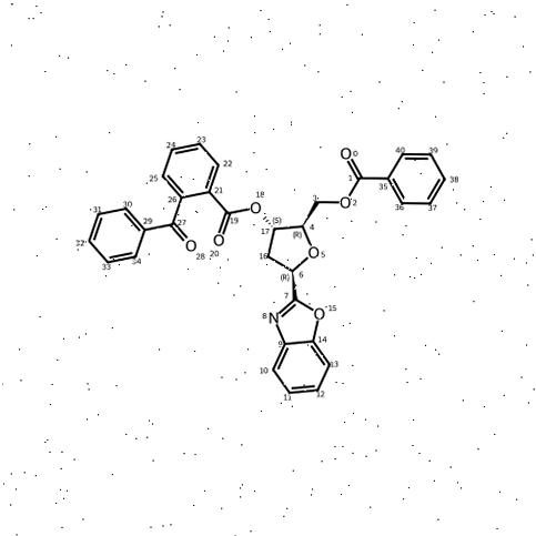 O=C(OC[C@H]1O[C@@H](c2nc3ccccc3o2)C[C@@H]1OC(=O)c1ccccc1C(=O)c1ccccc1)c1ccccc1